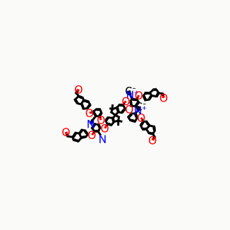 [C-]#[N+]c1c(Oc2ccc3cc(C=O)ccc3c2)cccc1Oc1cc2c(cc1Oc1cccc(Oc3ccc4cc(C=O)ccc4c3)c1[N+]#[C-])C1(CC(C)(C)c3cc(Oc4cccc(Oc5ccc6cc(C=O)ccc6c5)c4C#N)c(Oc4cccc(Oc5ccc6cc(C=O)ccc6c5)c4C#N)cc31)CC2(C)C